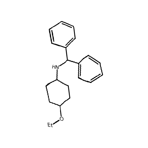 CCOC1CCC(NC(c2ccccc2)c2ccccc2)CC1